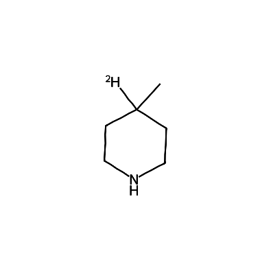 [2H]C1(C)CCNCC1